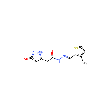 Cc1ccsc1/C=N/NC(=O)Cc1cc(=O)[nH][nH]1